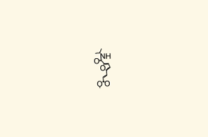 COC(=O)C=Cc1ccc(C(=O)NC(C)C)o1